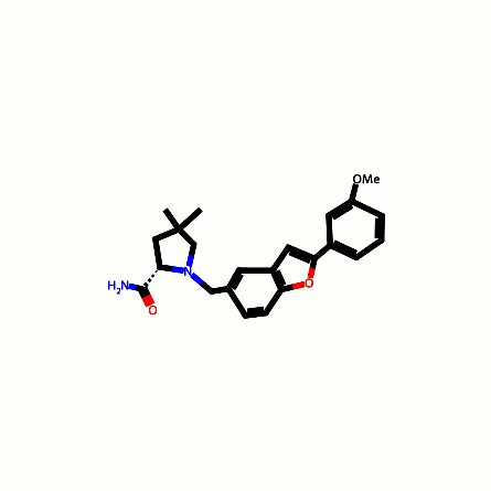 COc1cccc(-c2cc3cc(CN4CC(C)(C)C[C@H]4C(N)=O)ccc3o2)c1